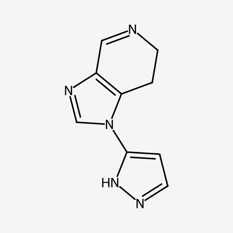 C1=NCCc2c1ncn2-c1ccn[nH]1